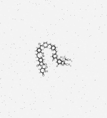 Cc1nc2c(F)cc(-c3nc(Cc4ccc(CN5CCN(C(=O)c6ccc7c(c6)/N=N\c6cc8c(cc6CC7)C(=O)N(C6CCC(=O)NC6=O)C8=O)CC5)cn4)ncc3F)cc2n1C(C)C